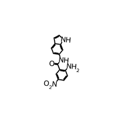 Nc1ccc([N+](=O)[O-])cc1C(=O)Nc1ccc2cc[nH]c2c1